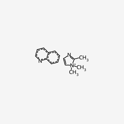 CC1=NC=C[N+]1(C)C.c1ccc2ncccc2c1